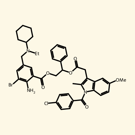 CCN(Cc1cc(Br)c(N)c(C(=O)OCC(OC(=O)Cc2c(C)n(C(=O)c3ccc(Cl)cc3)c3ccc(OC)cc23)c2ccccc2)c1)C1CCCCC1